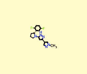 Cn1cc(-c2cc(N3CCC[C@@H]3c3cc(F)ccc3F)[nH]n2)cn1